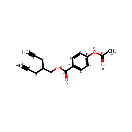 C#CCC(CC#C)COC(=O)c1ccc(OC(C)=O)cc1